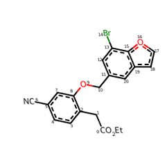 CCOC(=O)Cc1ccc(C#N)cc1OCc1cc(Br)c2occc2c1